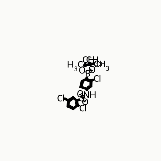 CC1(C)OB(c2ccc(NS(=O)(=O)c3cc(Cl)ccc3Cl)cc2Cl)OC1(C)C